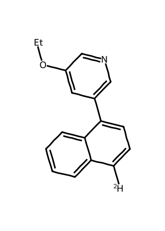 [2H]c1ccc(-c2cncc(OCC)c2)c2ccccc12